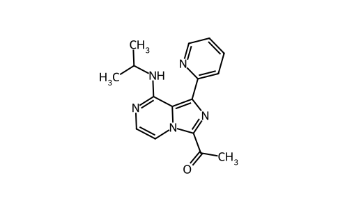 CC(=O)c1nc(-c2ccccn2)c2c(NC(C)C)nccn12